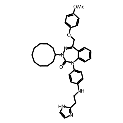 COc1ccc(OCC2=NN(C3CCCCCCCCC3)C(=O)N(c3ccc(NCCc4ncc[nH]4)cc3)c3ccccc32)cc1